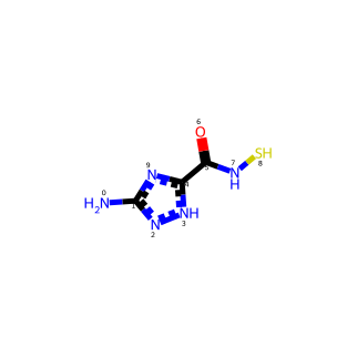 Nc1n[nH]c(C(=O)NS)n1